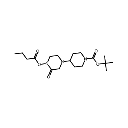 CCCC(=O)ON1CCN(C2CCN(C(=O)OC(C)(C)C)CC2)CC1=O